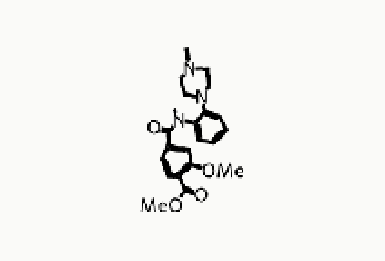 COC(=O)c1ccc(C(=O)N(C)c2ccccc2N2CCN(C)CC2)cc1OC